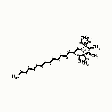 CCCCCCCCCCCCCCCCN([Si](CC)(CC)CC)[Si](CC)(CC)CC